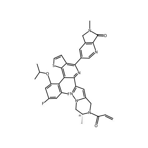 C=CC(=O)N1Cc2cc(-c3nc(-c4cnc5c(c4)CN(C)C5=O)c4ccsc4c3-c3c(F)cc(F)cc3OC(C)C)nn2C[C@H]1C